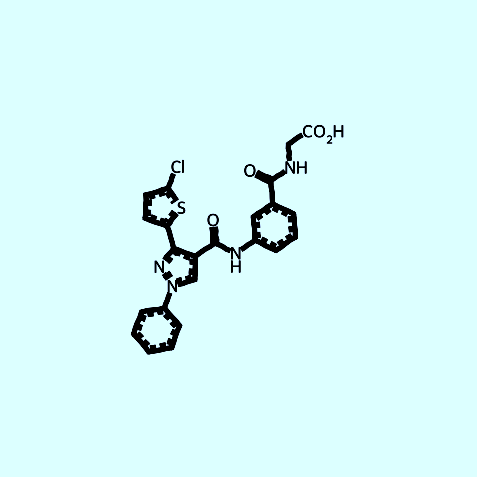 O=C(O)CNC(=O)c1cccc(NC(=O)c2cn(-c3ccccc3)nc2-c2ccc(Cl)s2)c1